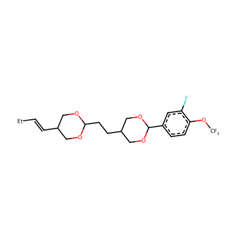 CCC=CC1COC(CCC2COC(c3ccc(OC(F)(F)F)c(F)c3)OC2)OC1